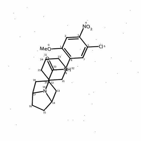 COc1cc([N+](=O)[O-])c(Cl)cc1NC(=O)C1CC2CCC(C1)N2C1CCCCC1